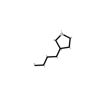 CCCCC1CCOC1